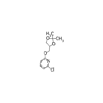 CC1(C)OCC(COc2cccc(Cl)n2)O1